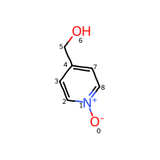 [O-][n+]1ccc(CO)cc1